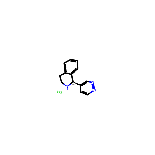 Cl.c1ccc2c(c1)CCN[C@@H]2c1ccnnc1